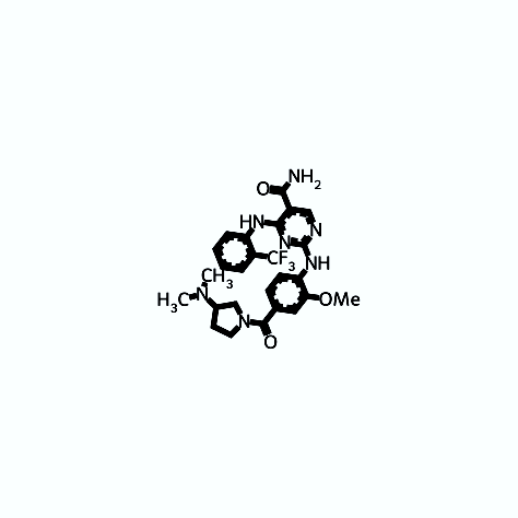 COc1cc(C(=O)N2CCC(N(C)C)C2)ccc1Nc1ncc(C(N)=O)c(Nc2ccccc2C(F)(F)F)n1